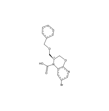 O=C(O)N1c2cc(Br)cnc2OC[C@@H]1COCc1ccccc1